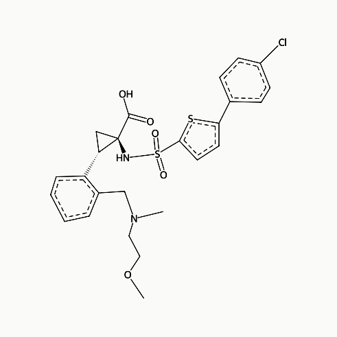 COCCN(C)Cc1ccccc1[C@@H]1C[C@]1(NS(=O)(=O)c1ccc(-c2ccc(Cl)cc2)s1)C(=O)O